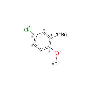 CCOc1ccc(Cl)cc1C(C)(C)C